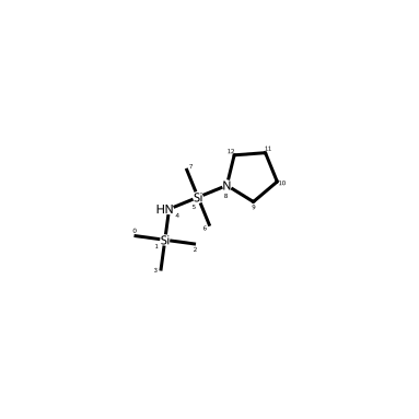 C[Si](C)(C)N[Si](C)(C)N1CCCC1